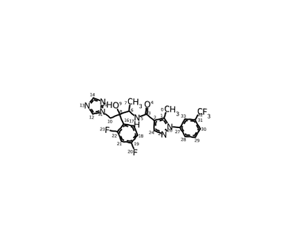 Cc1c(C(=O)NC(C)C(O)(Cn2cncn2)c2ccc(F)cc2F)cnn1-c1cccc(C(F)(F)F)c1